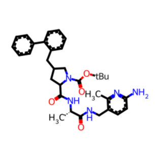 Cc1nc(N)ccc1CNC(=O)[C@H](C)NC(=O)C1CC(Cc2ccccc2-c2ccccc2)CN1C(=O)OC(C)(C)C